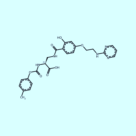 Cc1ccc(OC(=O)N[C@@H](CNC(=O)c2ccc(OCCNc3ncccn3)cc2O)C(=O)O)cc1